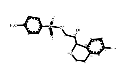 Cc1ccc(S(=O)(=O)OC[C@H](O)C2OCCc3cc(F)ccc32)cc1